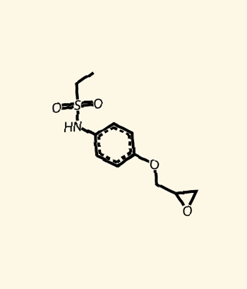 CCS(=O)(=O)Nc1ccc(OCC2CO2)cc1